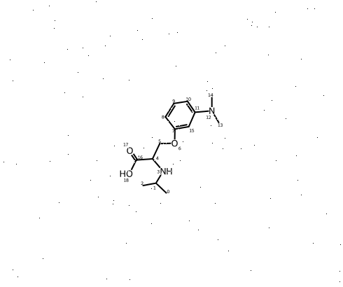 CC(C)NC(COc1cccc(N(C)C)c1)C(=O)O